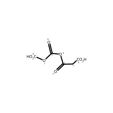 O=C(O)CC(=O)OC(=O)OC(=O)O